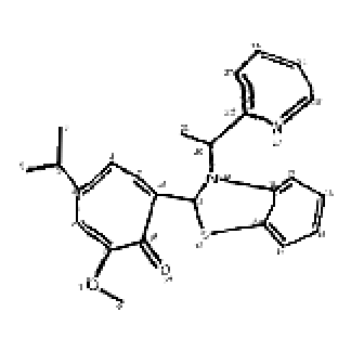 COc1cc(C(C)C)ccc(C2Sc3ccccc3N2C(C)c2ccccn2)c1=O